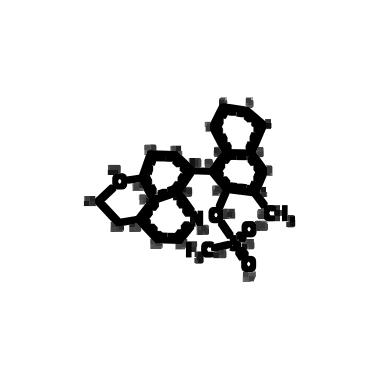 Cc1cc2ccccc2c(-c2ccc3c4c(ccnc24)CCO3)c1OS(=O)(=O)C(F)(F)F